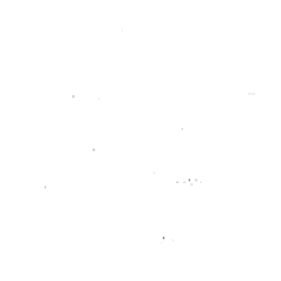 COc1cc(C=O)cc(-c2cc(C(=O)O)cc(O)c2OC)c1OC